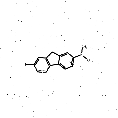 CN(C)c1ccc2c(c1)Cc1cc(I)ccc1-2